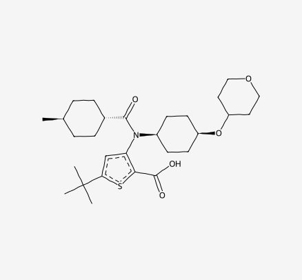 CC(C)(C)c1cc(N(C(=O)[C@H]2CC[C@H](C)CC2)[C@H]2CC[C@@H](OC3CCOCC3)CC2)c(C(=O)O)s1